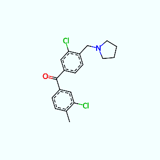 Cc1ccc(C(=O)c2ccc(CN3CCCC3)c(Cl)c2)cc1Cl